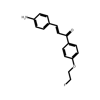 Nc1ccc(C=CC(=O)c2ccc(OCCF)cc2)cc1